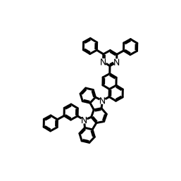 c1ccc(-c2cccc(-n3c4ccccc4c4ccc5c(c6ccccc6n5-c5cccc6cc(-c7nc(-c8ccccc8)cc(-c8ccccc8)n7)ccc56)c43)c2)cc1